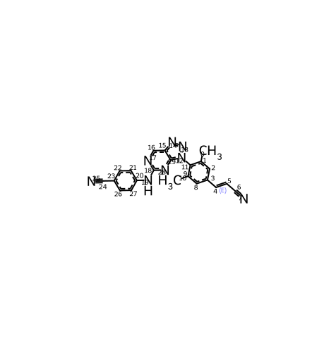 Cc1cc(/C=C/C#N)cc(C)c1-n1nnc2cnc(Nc3ccc(C#N)cc3)nc21